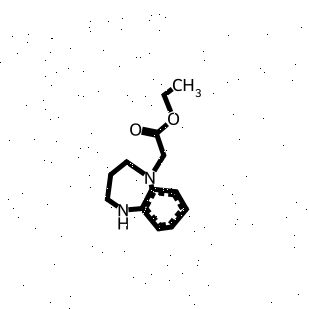 CCOC(=O)CN1CCCNc2ccccc21